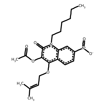 CCCCCCn1c(=O)c(OC(C)=O)c(OCC=C(C)C)c2ccc([N+](=O)[O-])cc21